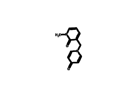 Cn1cccc(Cn2ccc(=O)cc2)c1=O